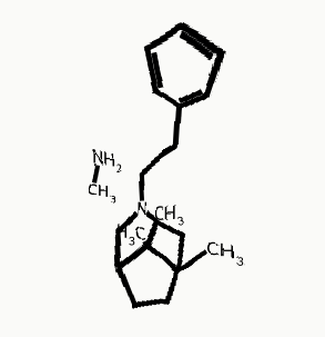 CC12CCC(CN(CCc3ccccc3)C1)C2(C)C.CN